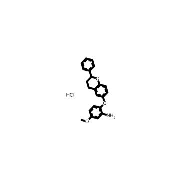 COc1ccc(Oc2ccc3c(c2)CCC(c2ccccc2)O3)c(N)c1.Cl